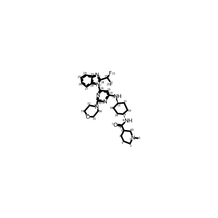 CN1CCCC(C(=O)N[C@H]2CC[C@H](Nc3cc(-n4c(C(F)F)nc5ccccc54)nc(N4CCOCC4)n3)CC2)C1